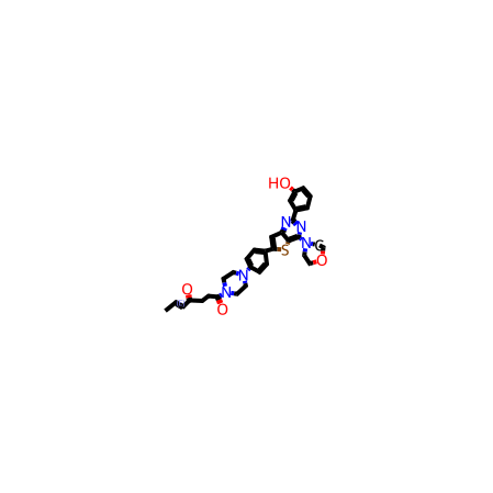 C/C=C/C(=O)CCC(=O)N1CCN(c2ccc(-c3cc4nc(-c5cccc(O)c5)nc(N5CCOCC5)c4s3)cc2)CC1